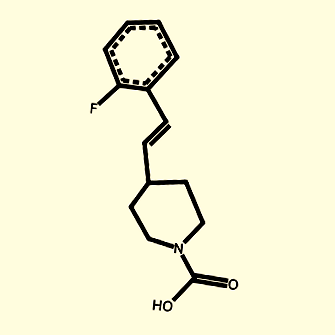 O=C(O)N1CCC(C=Cc2ccccc2F)CC1